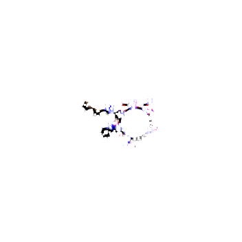 CCC(C)[C@@H]1NC(=O)[C@H](CC(N)=O)NC(=O)CCC(=O)NCCCC[C@@H](C(N)=O)NC(=O)[C@H](Cc2c[nH]c3ccccc23)NC(=O)[C@@H]2C[C@H](n3cc(-c4ccc(-c5cccs5)s4)nn3)CN2C1=O